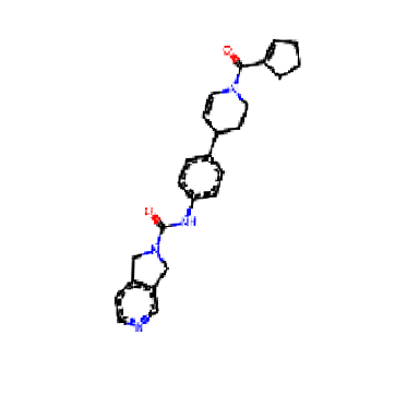 O=C(C1=CCCC1)N1C=CC(c2ccc(NC(=O)N3Cc4ccncc4C3)cc2)CC1